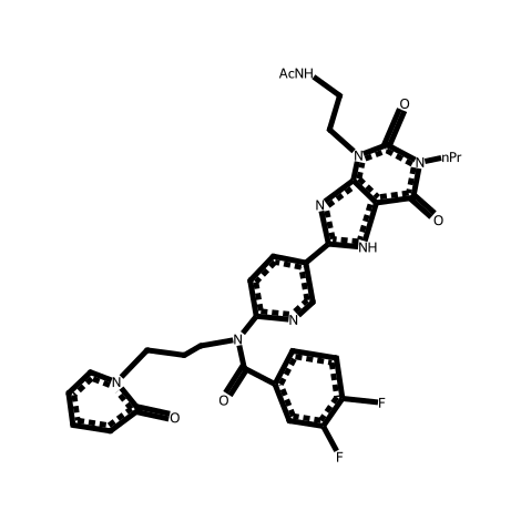 CCCn1c(=O)c2[nH]c(-c3ccc(N(CCCn4ccccc4=O)C(=O)c4ccc(F)c(F)c4)nc3)nc2n(CCNC(C)=O)c1=O